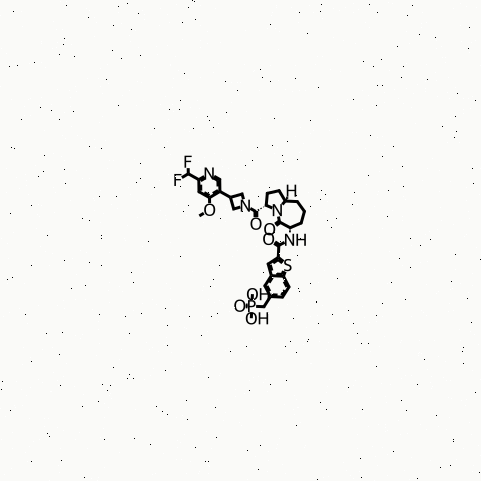 COc1cc(C(F)F)ncc1C1CN(C(=O)[C@@H]2CC[C@@H]3CCC[C@H](NC(=O)c4cc5cc(CP(=O)(O)O)ccc5s4)C(=O)N32)C1